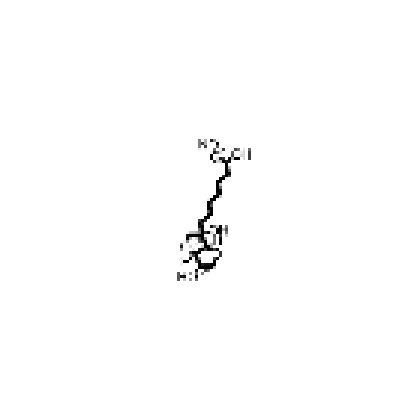 O=[N+]([O-])OC(O)CCCCCC[C@@]1(O)CO[C@@H]2[C@H](O)CO[C@@H]21